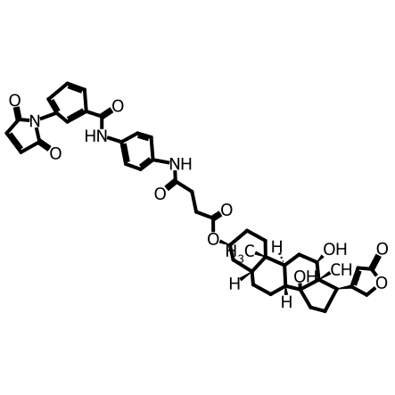 C[C@]12CC[C@H](OC(=O)CCC(=O)Nc3ccc(NC(=O)c4cccc(N5C(=O)C=CC5=O)c4)cc3)C[C@H]1CC[C@@H]1[C@@H]2C[C@@H](O)[C@]2(C)[C@@H](C3=CC(=O)OC3)CCC12O